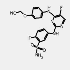 N#CCOc1ccc(Nc2nc(Nc3ccc(F)c(S(N)(=O)=O)c3)ncc2F)cc1